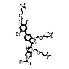 CCc1cc(OCOCC[Si](C)(C)C)c(F)cc1-c1ccc2c(-c3nc4c(n3COCC[Si](C)(C)C)CN(C(=O)C(C)C)C4)nn(COCC[Si](C)(C)C)c2c1